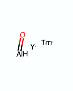 [O]=[AlH].[Tm].[Y]